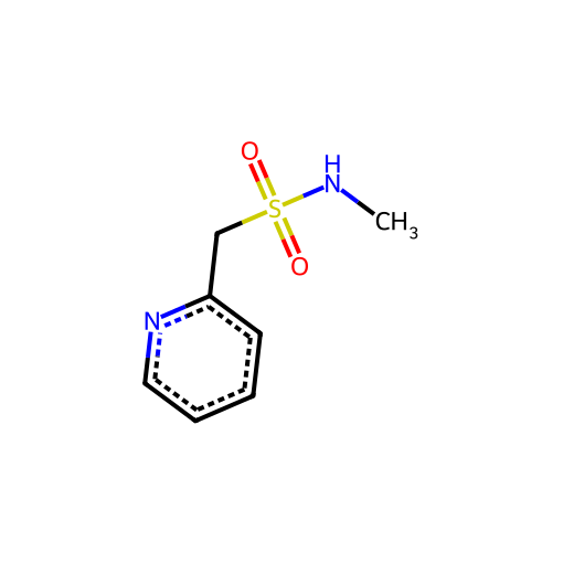 CNS(=O)(=O)Cc1ccccn1